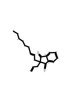 C=CCC1(CC=CCCCCCC)C(=O)c2ccccc2C1=O